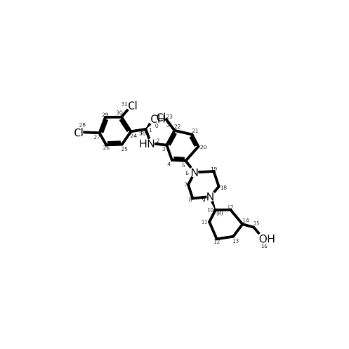 C[C@@H](Nc1cc(N2CCN([C@@H]3CCCC(CO)C3)CC2)ccc1Cl)c1ccc(Cl)cc1Cl